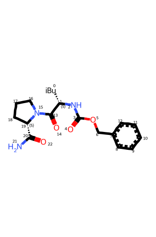 CCC(C)[C@H](NC(=O)OCc1ccccc1)C(=O)N1CCC[C@H]1C(N)=O